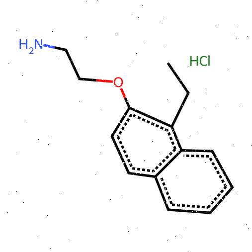 CCc1c(OCCN)ccc2ccccc12.Cl